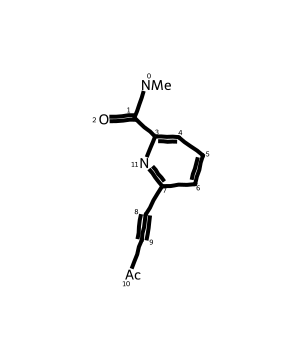 CNC(=O)c1cccc(C#CC(C)=O)n1